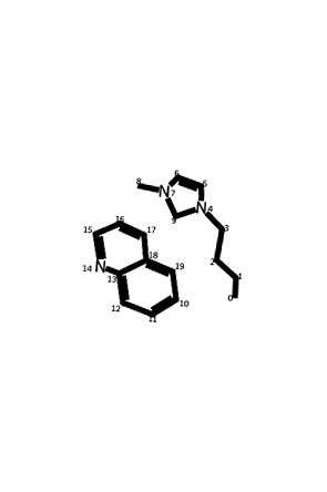 CCCCN1C=CN(C)C1.c1ccc2ncccc2c1